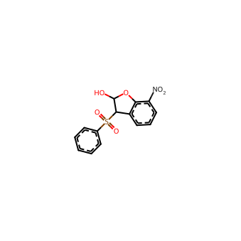 O=[N+]([O-])c1cccc2c1OC(O)C2S(=O)(=O)c1ccccc1